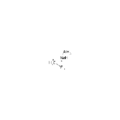 CF.[AlH3].[NaH]